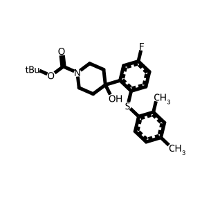 Cc1ccc(Sc2ccc(F)cc2C2(O)CCN(C(=O)OC(C)(C)C)CC2)c(C)c1